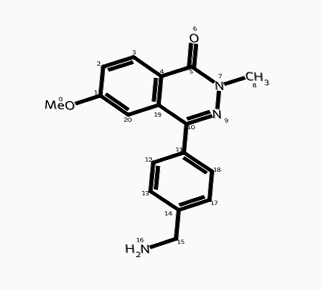 COc1ccc2c(=O)n(C)nc(-c3ccc(CN)cc3)c2c1